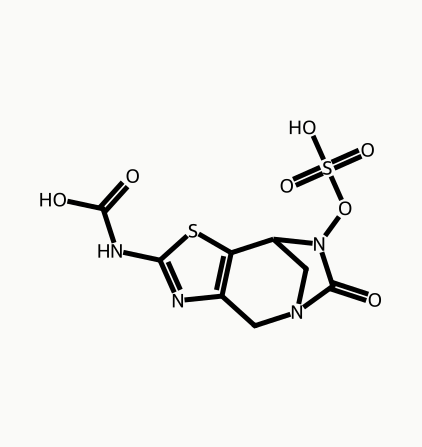 O=C(O)Nc1nc2c(s1)C1CN(C2)C(=O)N1OS(=O)(=O)O